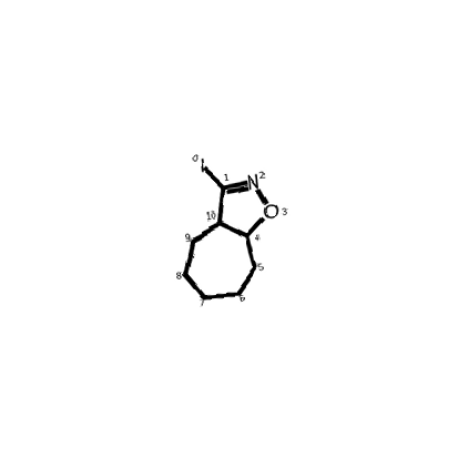 IC1=NOC2CCCCCC12